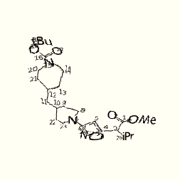 COC(=O)C(c1cc(N2CCC(CC3CCN(C(=O)OC(C)(C)C)CC3)CC2)no1)C(C)C